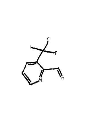 O=Cc1ncccc1C(F)(F)I